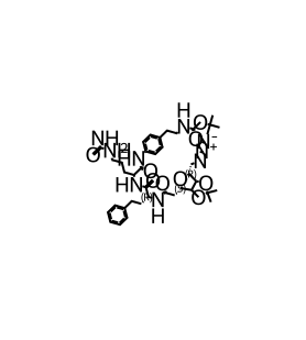 CC(C)(C)OC(=O)NCCc1ccc(NC(=O)C(CCCNC(N)=O)NC(=O)[C@@H](CCc2ccccc2)NC(=O)C[C@@H]2O[C@H](CN=[N+]=[N-])C3OC(C)(C)OC32)cc1